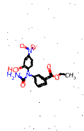 CCOC(=O)c1cccc(N(C(N)=O)c2ccc([N+](=O)[O-])cc2O)c1